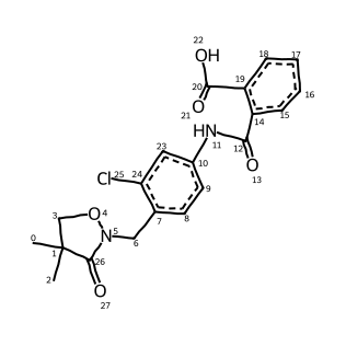 CC1(C)CON(Cc2ccc(NC(=O)c3ccccc3C(=O)O)cc2Cl)C1=O